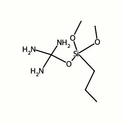 CCC[Si](OC)(OC)OC(N)(N)N